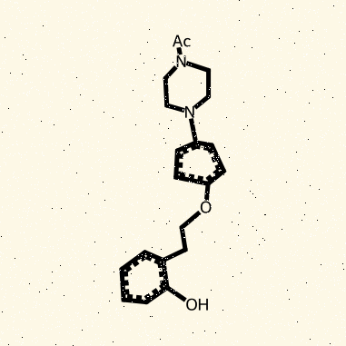 CC(=O)N1CCN(c2ccc(OCCc3ccccc3O)cc2)CC1